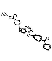 CC(C)(C)OC(=O)N1CCC(n2ncc3c(Oc4ccc(C(=O)c5ccccc5)cc4)ncnc32)CC1